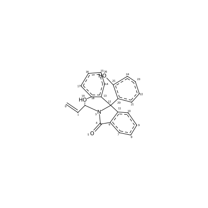 C=CCN1C(=O)c2ccccc2C1(c1ccccc1O)c1ccccc1O